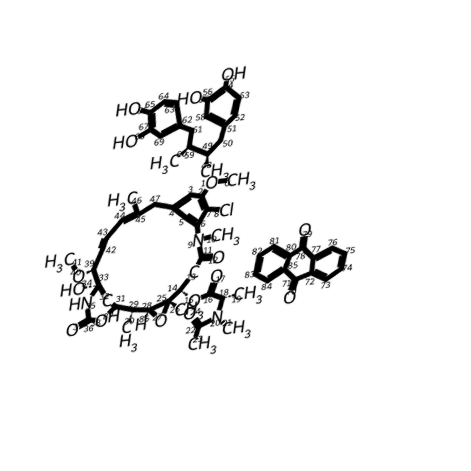 COc1cc2cc(c1Cl)N(C)C(=O)C[C@H](OC(=O)[C@H](C)N(C)C(C)=O)[C@]1(C)O[C@H]1[C@H](C)[C@@H]1C[C@@](O)(NC(=O)O1)[C@H](OC)/C=C\C=C(\C)C2.C[C@H](Cc1ccc(O)c(O)c1)[C@@H](C)Cc1ccc(O)c(O)c1.O=C1c2ccccc2C(=O)c2ccccc21